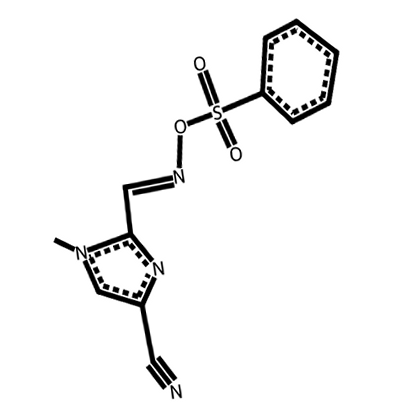 Cn1cc(C#N)nc1C=NOS(=O)(=O)c1ccccc1